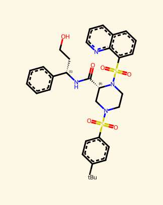 CC(C)(C)c1ccc(S(=O)(=O)N2CCN(S(=O)(=O)c3cccc4cccnc34)[C@@H](C(=O)N[C@@H](CCO)c3ccccc3)C2)cc1